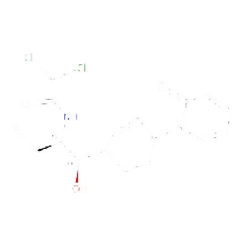 O=C(N[C@H](CF)[C@H](O)c1ccc(-n2ccccc2=O)cc1)C(Cl)Cl